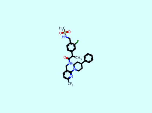 CC(C(=O)NCc1ccc(C(F)(F)F)nc1N1CCC(c2ccccc2)CC1)c1ccc(CNS(C)(=O)=O)c(F)c1